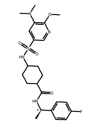 COc1ncc(S(=O)(=O)NC2CCC(C(=O)N[C@H](C)c3ccc(F)cc3)CC2)cc1N(C)C